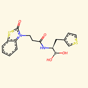 O=C(CCn1c(=O)sc2ccccc21)N[C@@H](Cc1ccsc1)B(O)O